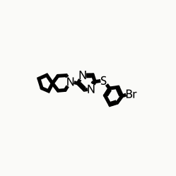 Brc1cccc(Sc2cnc(N3CCC4(CCCC4)CC3)cn2)c1